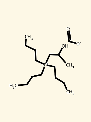 CCCC[P+](CCCC)(CCCC)CC(C)O.O=C[O-]